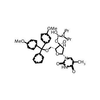 COc1ccc(C(OC[C@H]2O[C@@H](n3cc(C)c(=O)[nH]c3=O)C[C@]2(O)OP(O)N(C(C)C)C(C)C)(c2ccccc2)c2ccc(OC)cc2)cc1